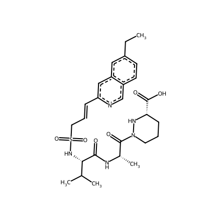 CCc1ccc2cnc(/C=C/CS(=O)(=O)N[C@H](C(=O)N[C@@H](C)C(=O)N3CCC[C@@H](C(=O)O)N3)C(C)C)cc2c1